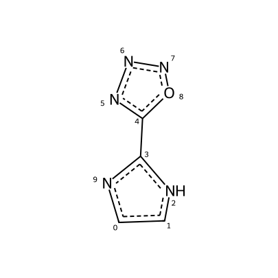 c1c[nH]c(-c2nnno2)n1